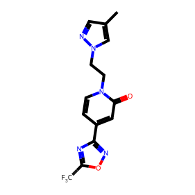 Cc1cnn(CCn2ccc(-c3noc(C(F)(F)F)n3)cc2=O)c1